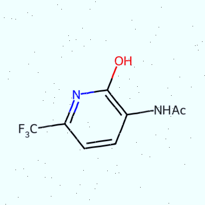 CC(=O)Nc1ccc(C(F)(F)F)nc1O